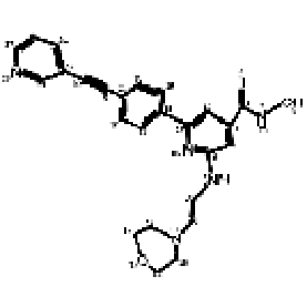 O=C(NO)c1cc(NCCN2CCOCC2)nc(-c2ccc(C#Cc3cccnc3)cc2)c1